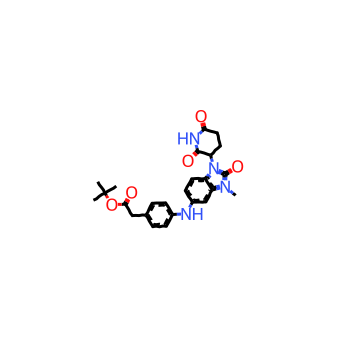 Cn1c(=O)n(C2CCC(=O)NC2=O)c2ccc(Nc3ccc(CC(=O)OC(C)(C)C)cc3)cc21